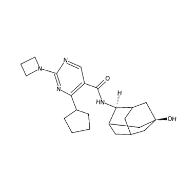 O=C(N[C@H]1C2CC3CC1C[C@@](O)(C3)C2)c1cnc(N2CCC2)nc1C1CCCC1